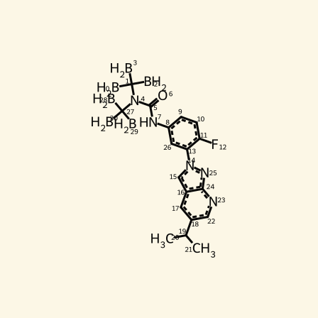 BC(B)(B)N(C(=O)Nc1ccc(F)c(-n2cc3cc(C(C)C)cnc3n2)c1)C(B)(B)B